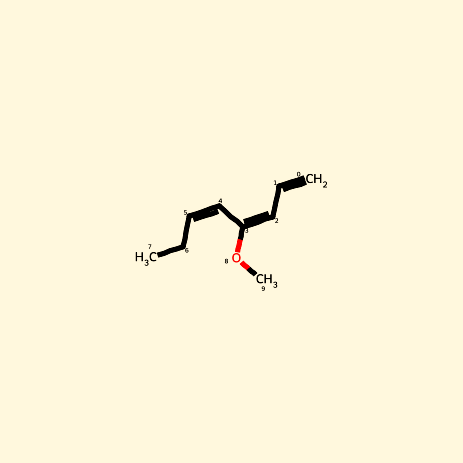 C=C/C=C(\C=C/CC)OC